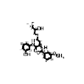 CCC(O)CSCCC(NC(=O)c1cccc(OC)c1)C(=O)Nc1cccc(O)c1